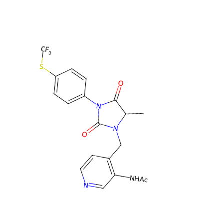 CC(=O)Nc1cnccc1CN1C(=O)N(c2ccc(SC(F)(F)F)cc2)C(=O)C1C